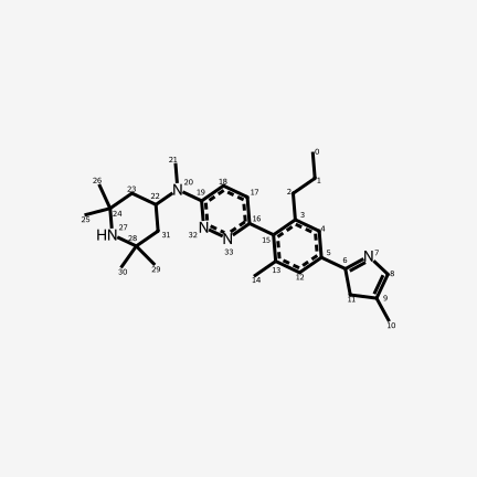 CCCc1cc(C2=NC=C(C)C2)cc(C)c1-c1ccc(N(C)C2CC(C)(C)NC(C)(C)C2)nn1